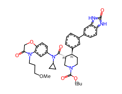 COCCCN1C(=O)COc2ccc(N(C(=O)[C@H]3CN(C(=O)OC(C)(C)C)CC[C@@H]3c3cccc(-c4ccc5[nH]c(=O)[nH]c5c4)c3)C3CC3)cc21